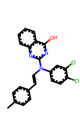 Cc1ccc(/C=C/N(c2ccc(Cl)c(Cl)c2)c2nc(O)c3ccccc3n2)cc1